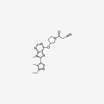 CCn1ncc(-c2nc3c(OC4CCN(C(=O)CC#N)C4)ncnc3n2C)c1C